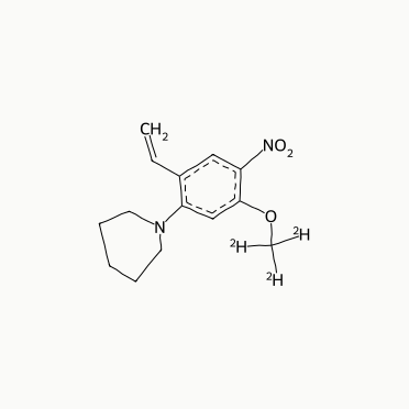 [2H]C([2H])([2H])Oc1cc(N2CCCCC2)c(C=C)cc1[N+](=O)[O-]